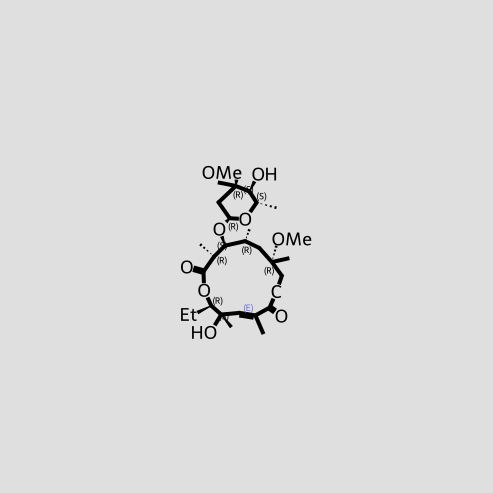 CC[C@H]1OC(=O)[C@H](C)[C@@H](O[C@H]2C[C@@](C)(OC)[C@@H](O)[C@H](C)O2)[C@H](C)C[C@](C)(OC)CCC(=O)/C(C)=C/[C@]1(C)O